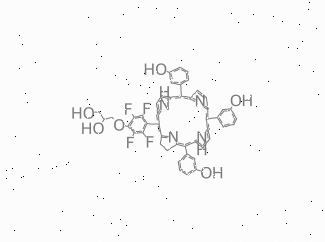 OCC(O)COc1c(F)c(F)c(-c2c3nc(c(-c4cccc(O)c4)c4ccc([nH]4)c(-c4cccc(O)c4)c4nc(c(-c5cccc(O)c5)c5ccc2[nH]5)C=C4)CC3)c(F)c1F